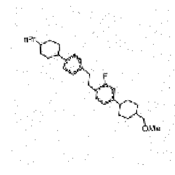 CCCC1CCC(c2ccc(CCc3ccc(C4CCC(COC)CC4)cc3F)cc2)CC1